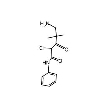 CC(C)(CN)C(=O)C(Cl)C(=O)Nc1ccccc1